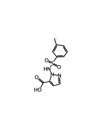 [CH2]c1cccc(S(=O)(=O)Nn2nccc2C(=O)O)c1